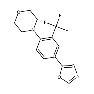 FC(F)(F)c1cc(-c2nnco2)ccc1N1CCOCC1